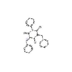 O=C1/C(=C\c2ccccc2)C(=O)N(c2ccccc2)C(=O)N1Cc1ccccc1